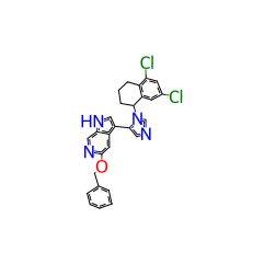 Clc1cc(Cl)c2c(c1)C(n1cncc1-c1c[nH]c3cnc(OCc4ccccc4)cc13)CCC2